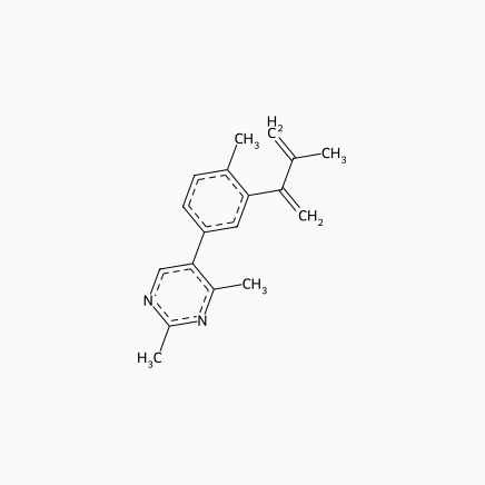 C=C(C)C(=C)c1cc(-c2cnc(C)nc2C)ccc1C